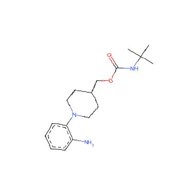 CC(C)(C)NC(=O)OCC1CCN(c2ccccc2N)CC1